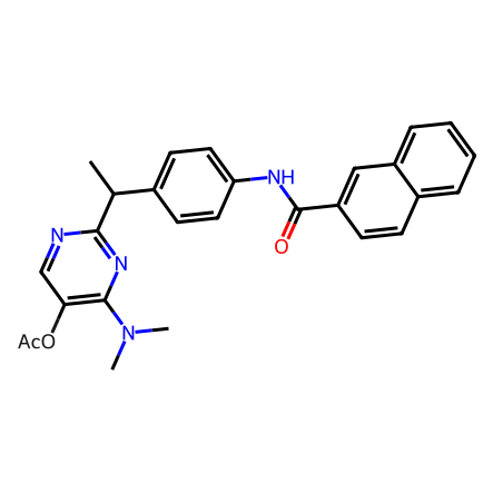 CC(=O)Oc1cnc(C(C)c2ccc(NC(=O)c3ccc4ccccc4c3)cc2)nc1N(C)C